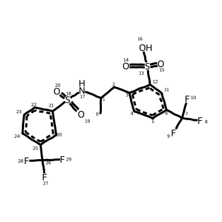 CC(Cc1ccc(C(F)(F)F)cc1S(=O)(=O)O)NS(=O)(=O)c1cccc(C(F)(F)F)c1